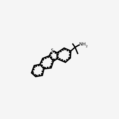 CC(C)(N)c1ccc2c(c1)sc1cc3ccccc3cc12